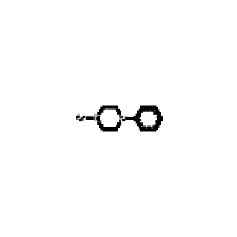 [CH2]C(=O)N1CCN(c2ccccc2)CC1